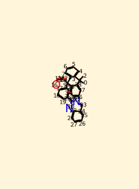 CC1(C)c2ccccc2C2(c3ccccc3Oc3ccc(-c4ncc5ccccc5n4)cc32)c2ccccc21